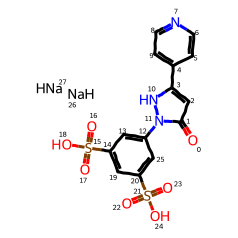 O=c1cc(-c2ccncc2)[nH]n1-c1cc(S(=O)(=O)O)cc(S(=O)(=O)O)c1.[NaH].[NaH]